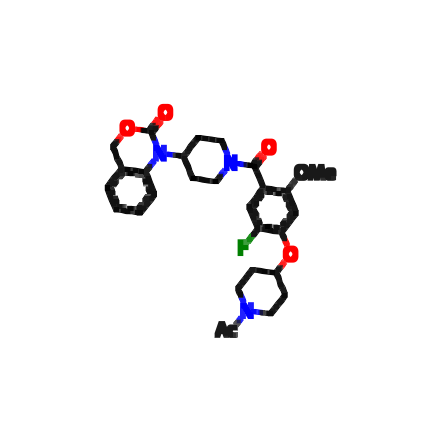 COc1cc(OC2CCN(C(C)=O)CC2)c(F)cc1C(=O)N1CCC(N2C(=O)OCc3ccccc32)CC1